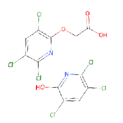 O=C(O)COc1nc(Cl)c(Cl)cc1Cl.Oc1nc(Cl)c(Cl)cc1Cl